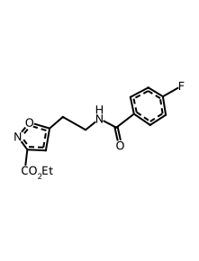 CCOC(=O)c1cc(CCNC(=O)c2ccc(F)cc2)on1